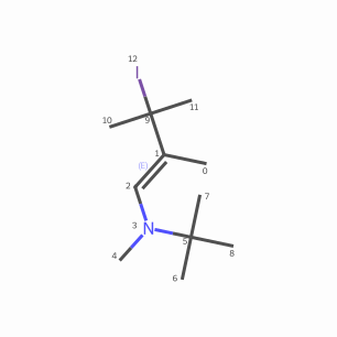 C/C(=C\N(C)C(C)(C)C)C(C)(C)I